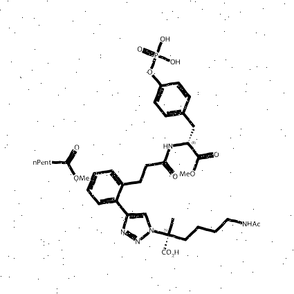 CCCCCC(=O)OC.COC(=O)[C@@H](Cc1ccc(OP(=O)(O)O)cc1)NC(=O)CCc1ccccc1-c1cn([C@@](C)(CCCCNC(C)=O)C(=O)O)nn1